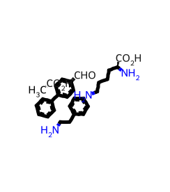 CC(=O)O.NCCCC[C@H](N)C(=O)O.NCCc1ccccc1.O=Cc1ccc(-c2ccccc2)cc1